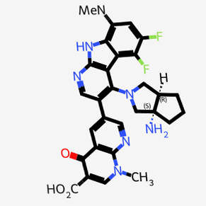 CNc1cc(F)c(F)c2c1[nH]c1ncc(-c3cnc4c(c3)c(=O)c(C(=O)O)cn4C)c(N3C[C@H]4CCC[C@@]4(N)C3)c12